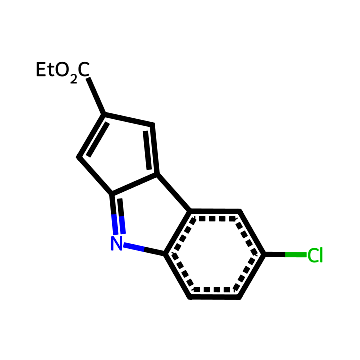 CCOC(=O)C1=CC2=Nc3ccc(Cl)cc3C2=C1